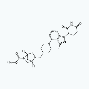 Cn1nc(C2CCC(=O)NC2=O)c2cccc(N3CCC(CN4C[C@@H]5C[C@H]4CN5C(=O)OC(C)(C)C)CC3)c21